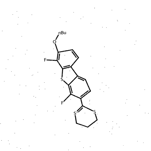 CCCCOc1ccc2c(sc3c(F)c(C4=[S+]CCCS4)ccc32)c1F